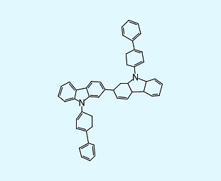 C1=CC2C3C=CC(c4ccc5c6ccccc6n(C6=CC=C(c7ccccc7)CC6)c5c4)CC3N(C3=CC=C(c4ccccc4)CC3)C2C=C1